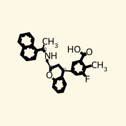 Cc1c(F)cc([C@@H]2C[C@H](CN[C@H](C)c3cccc4ccccc34)Oc3ccccc32)cc1C(=O)O